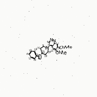 COc1cc2nncc(N3CCC(Oc4ccccc4)CC3)c2cc1OC